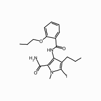 CCCOc1ccccc1C(=O)Nc1c(CCC)c(I)n(C)c1C(N)=O